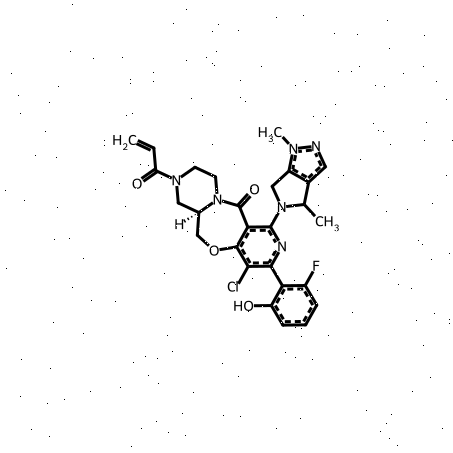 C=CC(=O)N1CCN2C(=O)c3c(N4Cc5c(cnn5C)C4C)nc(-c4c(O)cccc4F)c(Cl)c3OC[C@H]2C1